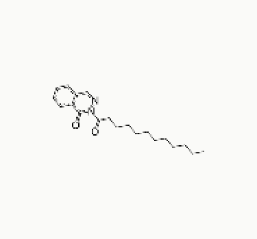 CCCCCCCCCCCC(=O)n1ncc2ccccc2c1=O